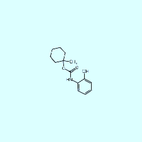 CC1(OC(=O)Nc2ccccc2O)CCCCC1